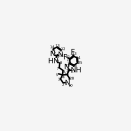 CN1CCC(C)(CCCNc2ncccn2)C(c2nc3c(F)c(F)ccc3[nH]2)C1